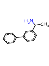 CC(N)c1cccc(-c2ccccc2)c1